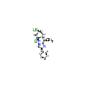 CC(c1nc(-c2ccccc2)[c][nH]1)c1ccc(Cl)cc1Cl